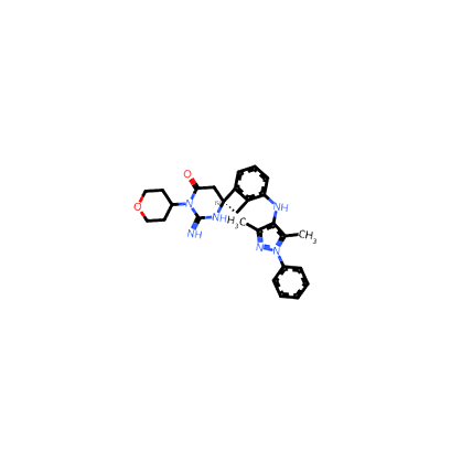 Cc1nn(-c2ccccc2)c(C)c1Nc1cccc2c1C[C@]21CC(=O)N(C2CCOCC2)C(=N)N1